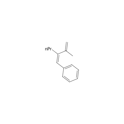 C=C(C)C(=Cc1ccccc1)CCC